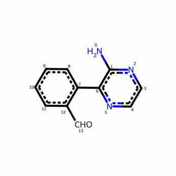 Nc1nccnc1-c1ccccc1C=O